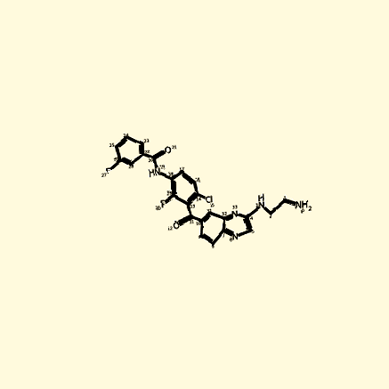 NCCNc1cnc2ccc(C(=O)c3c(Cl)ccc(NC(=O)c4cccc(F)c4)c3F)cc2n1